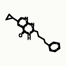 O=c1[nH]c(CCCCc2ccccc2)nc2ncc(C3CC3)cc12